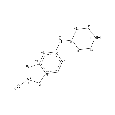 [O-][S+]1Cc2ccc(OC3CCNCC3)cc2C1